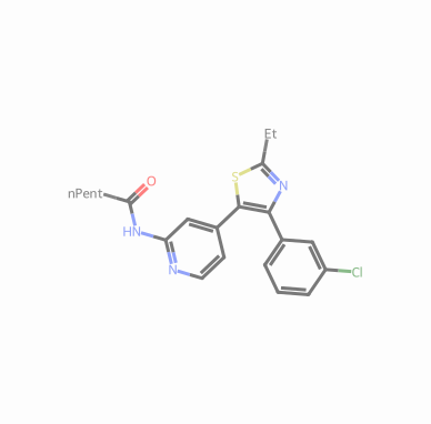 CCCCCC(=O)Nc1cc(-c2sc(CC)nc2-c2cccc(Cl)c2)ccn1